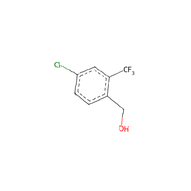 OCc1ccc(Cl)cc1C(F)(F)F